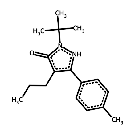 CCCc1c(-c2ccc(C)cc2)[nH]n(C(C)(C)C)c1=O